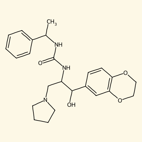 CC(NC(=O)NC(CN1CCCC1)C(O)c1ccc2c(c1)OCCO2)c1ccccc1